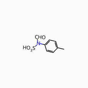 Cc1ccc(N(C=O)S(=O)(=O)O)cc1